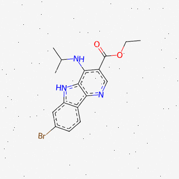 CCOC(=O)c1cnc2c([nH]c3cc(Br)ccc32)c1NC(C)C